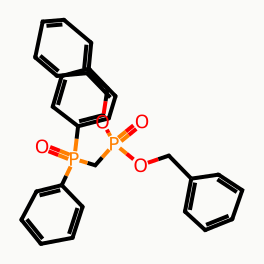 O=P(CP(=O)(c1ccccc1)c1ccccc1)(OCc1ccccc1)OCc1ccccc1